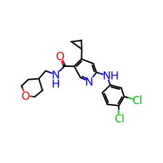 O=C(NCC1CCOCC1)c1cnc(Nc2ccc(Cl)c(Cl)c2)cc1C1CC1